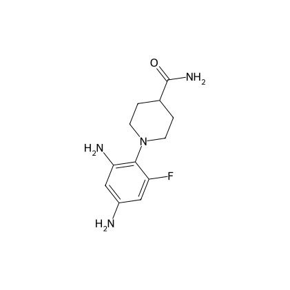 NC(=O)C1CCN(c2c(N)cc(N)cc2F)CC1